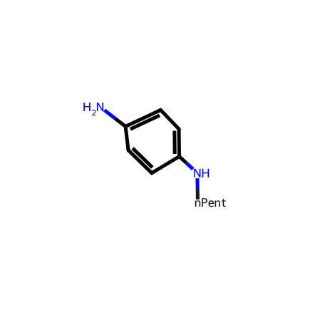 CCCCCNc1ccc(N)cc1